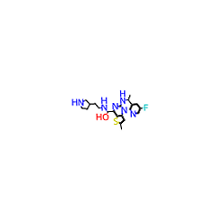 Cc1cc2nc(NC(C)c3cncc(F)c3)nc(C(O)NCCC3CCNC3)c2s1